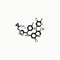 CC1(Cn2cc(C(Nc3cc(Cl)c4ncc(C#N)c(Nc5cnc(F)c(F)c5)c4c3)c3ccc(F)cc3)nn2)CC1